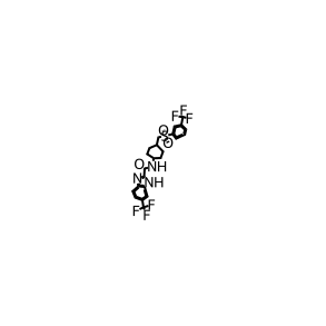 O=C(NC1CCC(CS(=O)(=O)c2cccc(C(F)(F)F)c2)CC1)c1nc2ccc(C(F)(F)F)cc2[nH]1